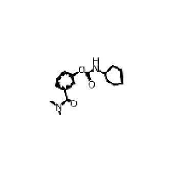 CN(C)C(=O)c1cccc(OC(=O)NC2CCCCC2)c1